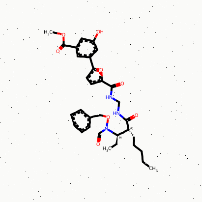 CCCCC[C@@H](C(=O)NCNC(=O)c1ccc(-c2cc(O)cc(C(=O)OC)c2)o1)[C@@H](CC)N(C=O)OCc1ccccc1